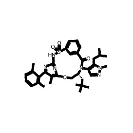 Cc1cccc(C)c1-c1nc2nc(c1C)OC[C@@H](CC(C)(C)C)N(c1cnn(C)c1CC(C)C)C(=O)c1cccc(c1)S(=O)(=O)N2